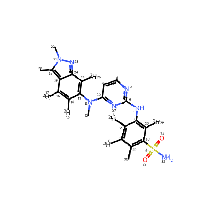 [2H]c1c([2H])c(Nc2nccc(N(C)c3c([2H])c([2H])c4c(C)n(C)nc4c3[2H])n2)c([2H])c(S(N)(=O)=O)c1C